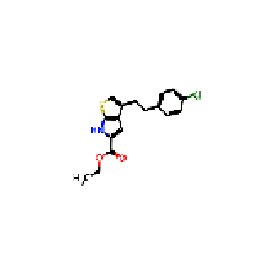 CCOC(=O)c1cc2c(CCc3ccc(Cl)cc3)csc2[nH]1